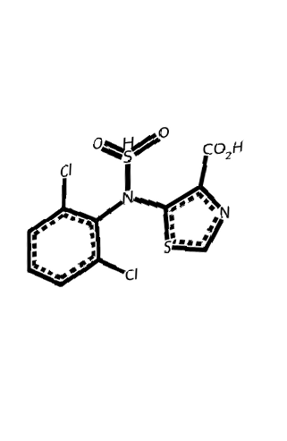 O=C(O)c1ncsc1N(c1c(Cl)cccc1Cl)[SH](=O)=O